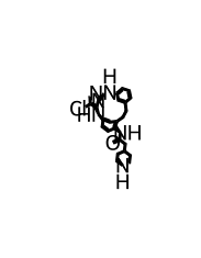 O=C(CC1CCNCC1)Nc1ccc2cc1CCc1cccc(c1)Nc1ncc(Cl)c(n1)N2